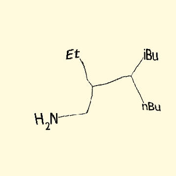 CCCCC(C(C)CC)C(CC)CN